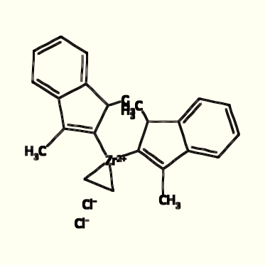 CC1=[C]([Zr+2]2([C]3=C(C)c4ccccc4C3C)[CH2][CH2]2)C(C)c2ccccc21.[Cl-].[Cl-]